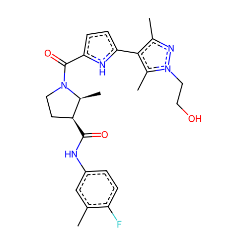 Cc1cc(NC(=O)[C@H]2CCN(C(=O)c3ccc(-c4c(C)nn(CCO)c4C)[nH]3)[C@H]2C)ccc1F